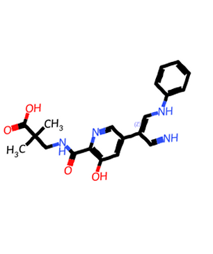 CC(C)(CNC(=O)c1ncc(/C(C=N)=C/Nc2ccccc2)cc1O)C(=O)O